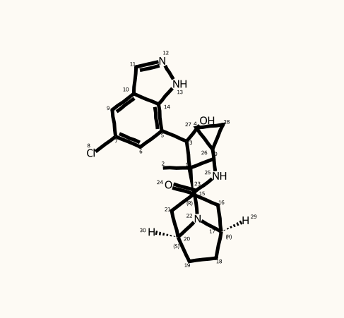 CC(C)(C(O)c1cc(Cl)cc2cn[nH]c12)[C@H]1C[C@H]2CC[C@@H](C1)N2C(=O)NC1CC1